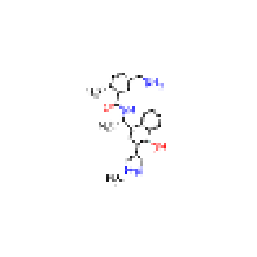 Cc1ccc(CN)cc1C(=O)NC(C)c1cc(-c2cnn(C)c2)c(O)c2ccccc12